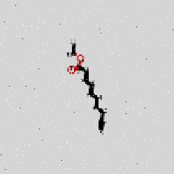 C#CCCC/C=C/C=C/C(=O)OCC